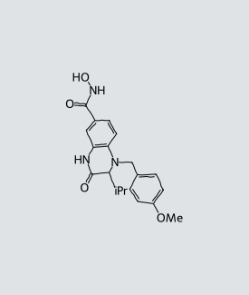 COc1ccc(CN2c3ccc(C(=O)NO)cc3NC(=O)C2C(C)C)cc1